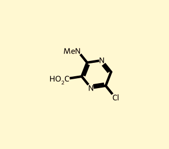 CNc1ncc(Cl)nc1C(=O)O